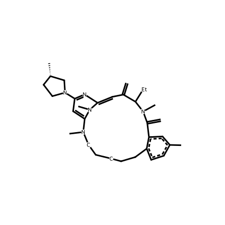 C=C1/C=C2/N=C(N3CC[C@H](C)C3)C=C(N(C)CCCCCc3ccc(C)cc3C(=C)N(C)C1CC)N2C